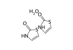 O.O=c1[nH]ccs1.O=c1[nH]ccs1